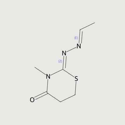 C/C=N/N=C1\SCCC(=O)N1C